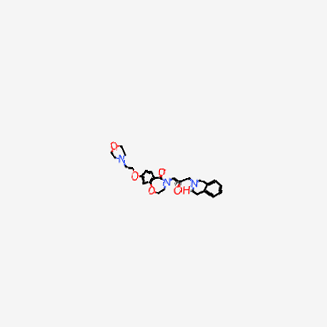 O=C1c2ccc(OCCN3CCOCC3)cc2OCCN1C[C@H](O)CN1CCc2ccccc2C1